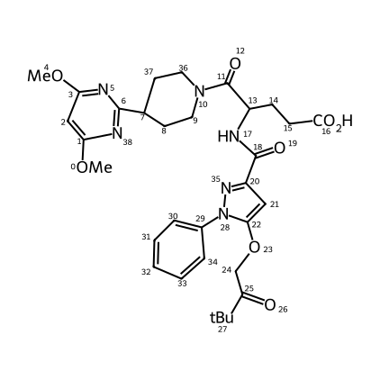 COc1cc(OC)nc(C2CCN(C(=O)C(CCC(=O)O)NC(=O)c3cc(OCC(=O)C(C)(C)C)n(-c4ccccc4)n3)CC2)n1